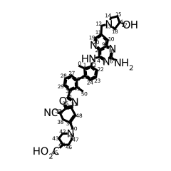 Cc1c(Nc2nc(N)nc3cc(CN4CC[C@@H](O)C4)cnc23)cccc1-c1cccc(-c2nc3c(o2)C(C#N)CC(CN2CCC(C(=O)O)CC2)=C3)c1C